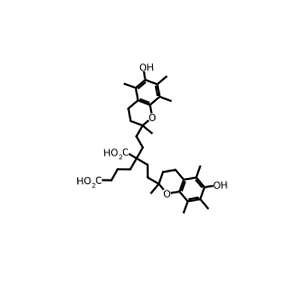 Cc1c(C)c2c(c(C)c1O)CCC(C)(CCC(CCCC(=O)O)(CCC1(C)CCc3c(C)c(O)c(C)c(C)c3O1)C(=O)O)O2